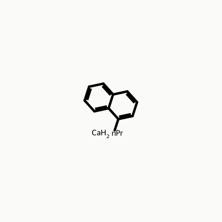 CCCc1cccc2ccccc12.[CaH2]